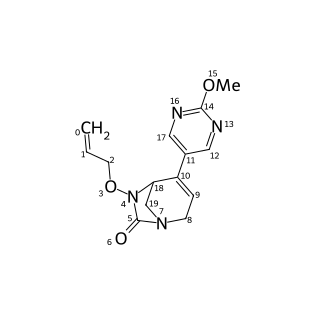 C=CCON1C(=O)N2CC=C(c3cnc(OC)nc3)C1C2